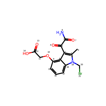 Cc1c(C(=O)C(N)=O)c2c(OCC(=O)O)cccc2n1CBr